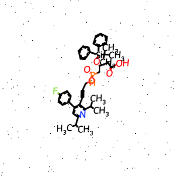 CC(C)c1cc(-c2ccc(F)cc2)c(C#CCO[PH](=O)C[C@H](CC(=O)O)O[Si](c2ccccc2)(c2ccccc2)C(C)(C)C)c(C(C)C)n1